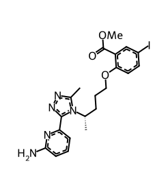 COC(=O)c1cc(I)ccc1OCCC[C@H](C)n1c(C)nnc1-c1cccc(N)n1